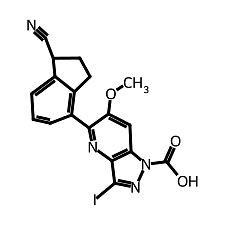 COc1cc2c(nc1-c1cccc3c1CCC3C#N)c(I)nn2C(=O)O